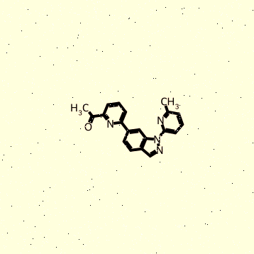 CC(=O)c1cccc(-c2ccc3cnn(-c4cccc(C)n4)c3c2)n1